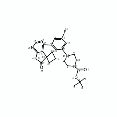 CC(C)(C)OC(=O)N1CCN(c2cc(F)cc(-c3ccnc4c3C3(CCC3)C(=O)N4)c2)CC1